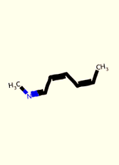 C\C=C/C=C\C=N/C